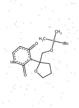 CC(C)(C)[Si](C)(C)OCC1(n2c(=O)cc[nH]c2=O)CCCO1